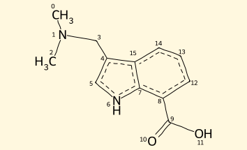 CN(C)Cc1c[nH]c2c(C(=O)O)cccc12